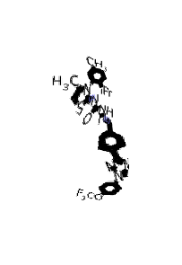 Cc1ccc(C(C)C)c(N2/C(=N/C(=O)N/N=C/c3ccc(-c4ncn(-c5ccc(OC(F)(F)F)cc5)n4)cc3)SCC2C)c1